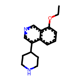 CCOc1cccc2c(C3CCNCC3)cncc12